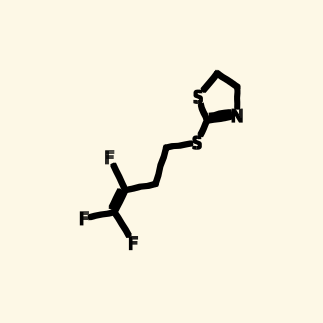 FC(F)=C(F)CCSC1=NCCS1